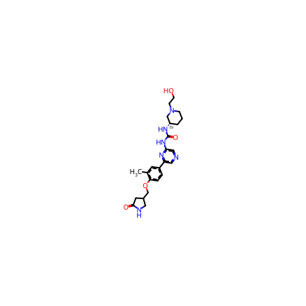 Cc1cc(-c2cncc(NC(=O)N[C@H]3CCCN(CCO)C3)n2)ccc1OCC1CNC(=O)C1